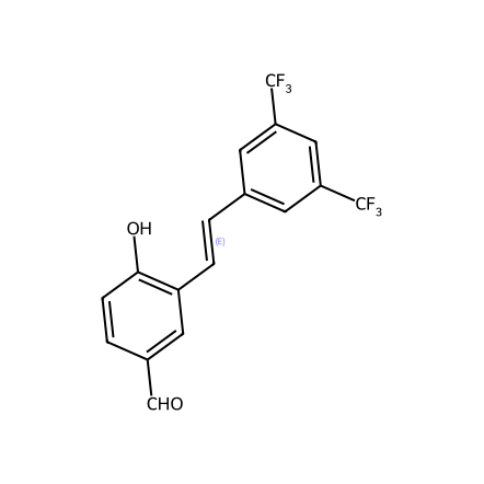 O=Cc1ccc(O)c(/C=C/c2cc(C(F)(F)F)cc(C(F)(F)F)c2)c1